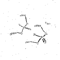 CCCCCCOP(=S)([S-])OCCCCCC.CCCCCCOP(=S)([S-])OCCCCCC.[Ca+2]